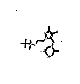 Cc1nn(CCO[Si](C)(C)C(C)(C)C)c(CN(C[C@@H](C)O)C(C)C)c1I